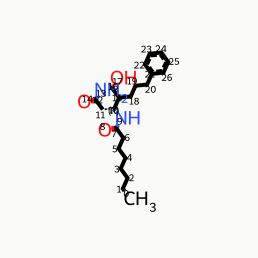 CCCCCCCC(=O)N[C@H](CC(N)=O)C(CO)CCCc1ccccc1